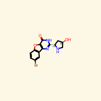 O=c1[nH]c([C@@H]2C[C@@H](O)CN2)nc2c1oc1ccc(Br)cc12